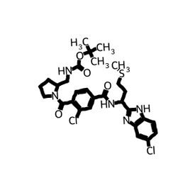 CSCCC(NC(=O)c1ccc(C(=O)N2CCCC2CNC(=O)OC(C)(C)C)c(Cl)c1)c1nc2cc(Cl)ccc2[nH]1